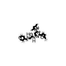 Cc1cc(C)n(-c2cc(NC(=O)CNCC3CCOCC3)nc(-c3ccc(C)o3)n2)n1